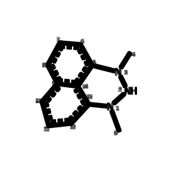 CN1NN(C)c2cccc3cccc1c23